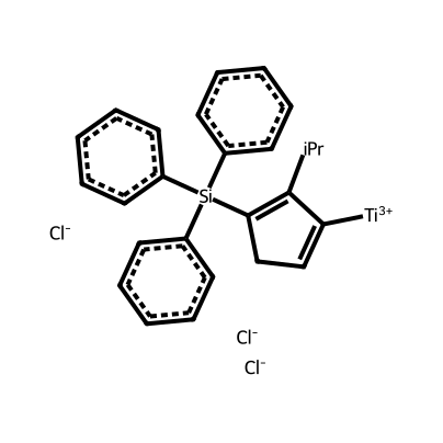 CC(C)C1=C([Si](c2ccccc2)(c2ccccc2)c2ccccc2)CC=[C]1[Ti+3].[Cl-].[Cl-].[Cl-]